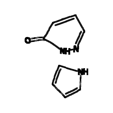 O=c1cccn[nH]1.c1cc[nH]c1